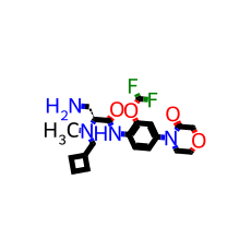 CN(CC1CCC1)[C@H](CN)C(=O)Nc1ccc(N2CCOCC2=O)cc1OC(F)F